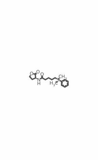 C[Si](C)(CCCCC(=O)N[C@H]1CCOC1=O)c1ccccc1